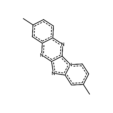 Cc1ccc2nc3c(nc2c1)nc1cc(C)ccn13